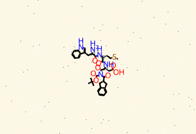 CSCC[C@H](NC(=O)[C@@H](N)Cc1c[nH]c2ccccc12)C(=O)N[C@@H](CC(=O)O)C(=O)N(C(=O)OC(C)(C)C)C(=O)C1Cc2ccccc2C1